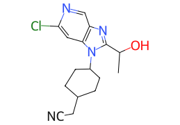 CC(O)c1nc2cnc(Cl)cc2n1C1CCC(CC#N)CC1